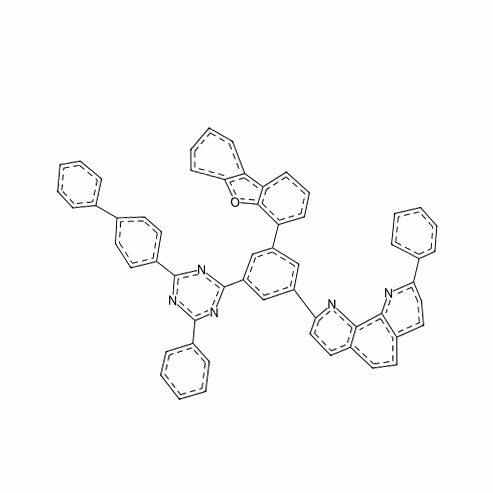 c1ccc(-c2ccc(-c3nc(-c4ccccc4)nc(-c4cc(-c5ccc6ccc7ccc(-c8ccccc8)nc7c6n5)cc(-c5cccc6c5oc5ccccc56)c4)n3)cc2)cc1